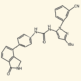 CC(C)(C)c1cc(NC(=O)Nc2ccc(-c3cccc4c3CNC4=O)cc2)n(-c2cccc(C#N)c2)n1